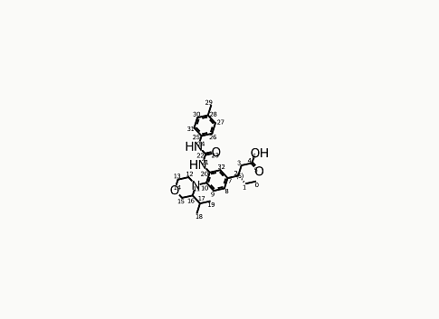 CC[C@@H](CC(=O)O)c1ccc(N2CCOCC2C(C)C)c(NC(=O)Nc2ccc(C)cc2)c1